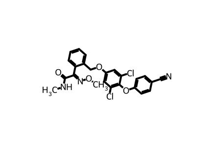 CNC(=O)/C(=N/OC)c1ccccc1COc1cc(Cl)c(Oc2ccc(C#N)cc2)c(Cl)c1